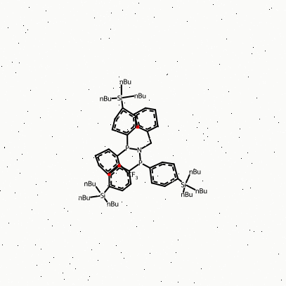 CCCC[Si](CCCC)(CCCC)c1ccc(P(c2ccc([Si](CCCC)(CCCC)CCCC)cc2)N(Cc2ccccc2)P(c2ccc([Si](CCCC)(CCCC)CCCC)cc2)c2ccccc2C(F)(F)F)cc1